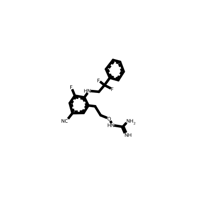 N#Cc1cc(F)c(NCC(F)(F)c2ccccc2)c(CCONC(=N)N)c1